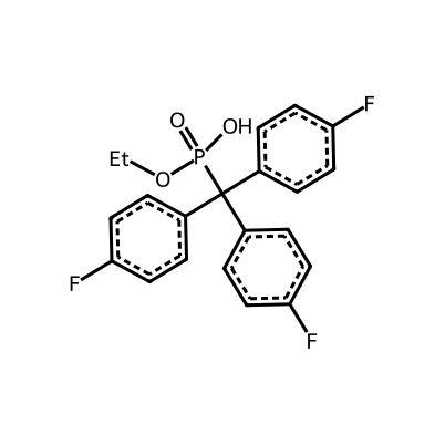 CCOP(=O)(O)C(c1ccc(F)cc1)(c1ccc(F)cc1)c1ccc(F)cc1